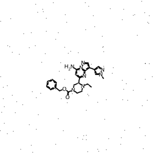 CCN1CCN(C(=O)OCc2ccccc2)CC1c1cc(N)n2ncc(-c3cnn(C)c3)c2n1